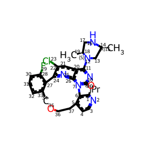 CC(C)c1nccc2c1-n1c(=O)nc(N3C[C@@H](C)NC[C@@H]3C)c3cc(Cl)c(nc31)-c1c(F)cccc1COCC2